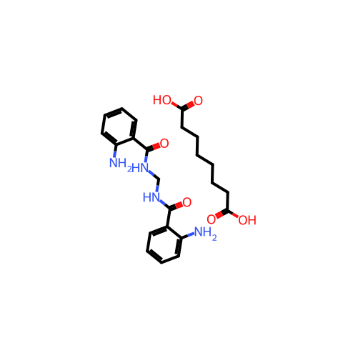 Nc1ccccc1C(=O)NCNC(=O)c1ccccc1N.O=C(O)CCCCCCC(=O)O